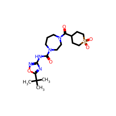 CC(C)(C)c1nc(NC(=O)N2CCCN(C(=O)C3CCS(=O)(=O)CC3)CC2)no1